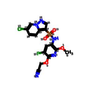 COc1nc(OCC#N)c(F)cc1NS(=O)(=O)c1cnn2cc(Cl)ccc12